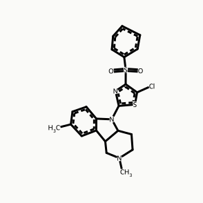 Cc1ccc2c(c1)C1CN(C)CCC1N2c1nc(S(=O)(=O)c2ccccc2)c(Cl)s1